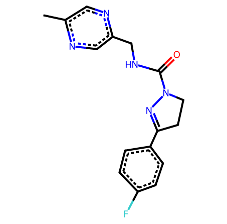 Cc1cnc(CNC(=O)N2CCC(c3ccc(F)cc3)=N2)cn1